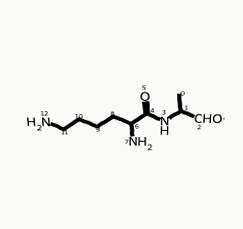 CC([C]=O)NC(=O)C(N)CCCCN